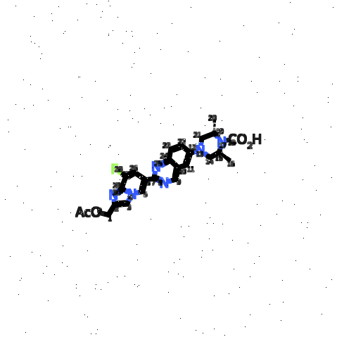 CC(=O)OCc1cn2cc(-c3ncc4cc(N5C[C@H](C)N(C(=O)O)[C@@H](C)C5)ccc4n3)cc(F)c2n1